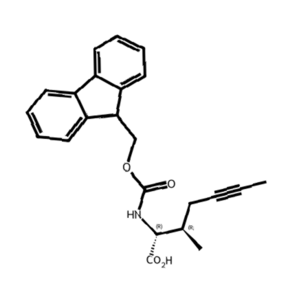 CC#CC[C@@H](C)[C@@H](NC(=O)OCC1c2ccccc2-c2ccccc21)C(=O)O